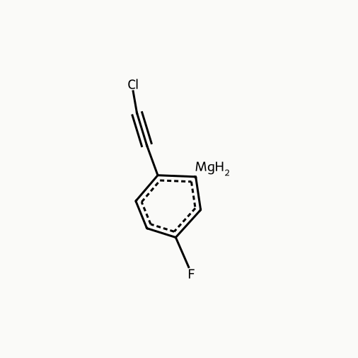 Fc1ccc(C#CCl)cc1.[MgH2]